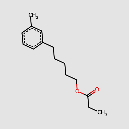 CCC(=O)OCCCCCc1cccc(C)c1